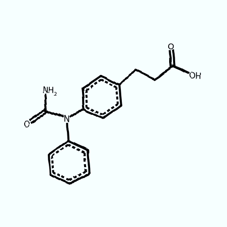 NC(=O)N(c1ccccc1)c1ccc(CCC(=O)O)cc1